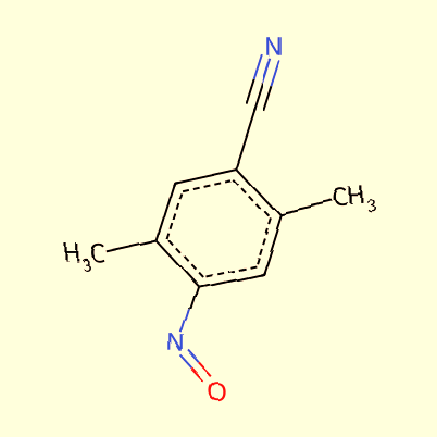 Cc1cc(N=O)c(C)cc1C#N